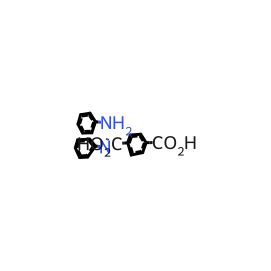 CN(C)c1ccccc1.Nc1ccccc1.O=C(O)c1ccc(C(=O)O)cc1